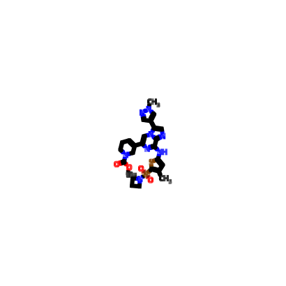 Cc1cc(Nc2nc(C3=CCCN(C(=O)OC(C)(C)C)C3)cn3c(-c4cnn(C)c4)cnc23)sc1S(=O)(=O)N1CCC1